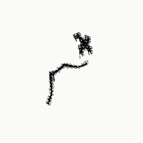 CCCCCCCCCCCCCCCCCC[NH+](C)CCCCCCCCCCCCCCCCCC.FC(F)(F)c1ccc([B-](c2ccc(C(F)(F)F)cc2)(c2ccc(C(F)(F)F)cc2)c2ccc(C(F)(F)F)cc2)cc1